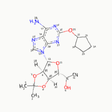 CC1(C)O[C@@H]2[C@H](O1)[C@@H](C(O)C#N)O[C@H]2n1cnc2c(N)nc(OC3CCCC3)nc21